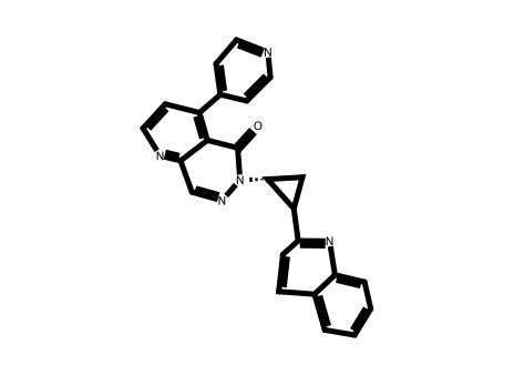 O=c1c2c(-c3ccncc3)ccnc2cnn1[C@@H]1CC1c1ccc2ccccc2n1